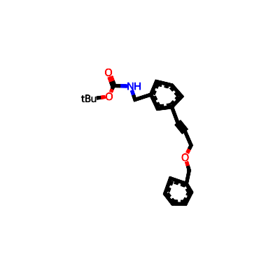 CC(C)(C)OC(=O)NCc1cccc(C#CCOCc2ccccc2)c1